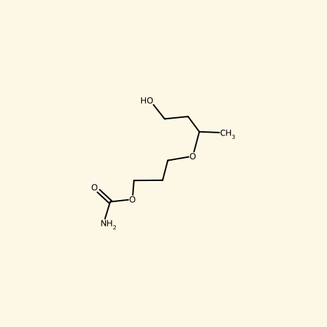 CC(CCO)OCCCOC(N)=O